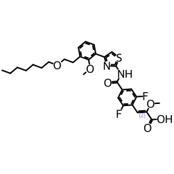 CCCCCCCOCCc1cccc(-c2csc(NC(=O)c3cc(F)c(/C=C(\OC)C(=O)O)c(F)c3)n2)c1OC